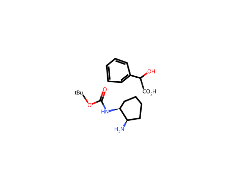 CC(C)(C)OC(=O)N[C@H]1CCCC[C@H]1N.O=C(O)C(O)c1ccccc1